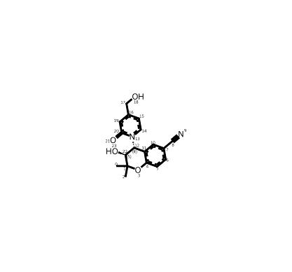 CC1(C)Oc2ccc(C#N)cc2[C@@H](n2ccc(CO)cc2=O)[C@@H]1O